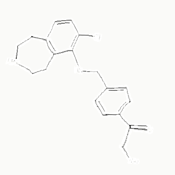 CC(C)(C)CC(=O)c1ccc(CNc2c(Cl)ccc3c2CCNCC3)cc1